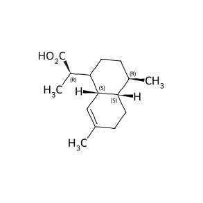 CC1=C[C@@H]2C([C@@H](C)C(=O)O)CC[C@@H](C)[C@@H]2CC1